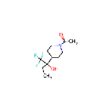 CCC(O)(C1CCN(C(C)=O)CC1)C(F)(F)F